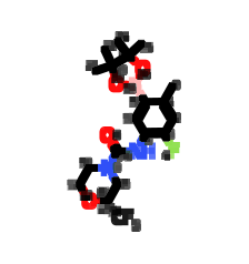 Cc1cc(F)c(NC(=O)N2CCO[C@@H](C(F)(F)F)C2)cc1B1OC(C)(C)C(C)(C)O1